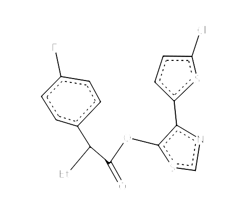 CCC(C(=O)Oc1scnc1-c1ccc(Cl)s1)c1ccc(F)cc1